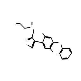 Cc1cc(Oc2ccccc2)c(C(F)(F)F)cc1-c1c[nH]nc1CN(C)CCN